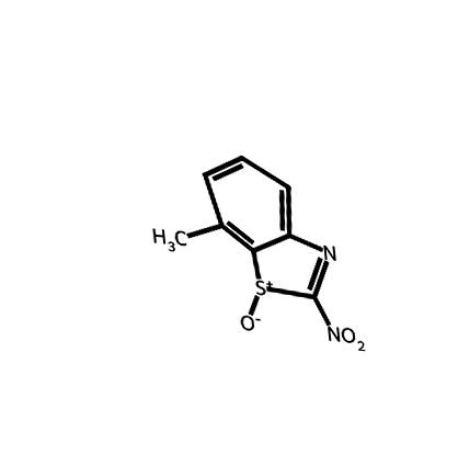 Cc1cccc2nc([N+](=O)[O-])[s+]([O-])c12